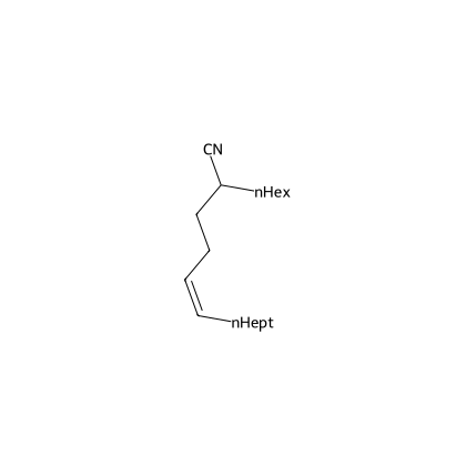 CCCCCCC/C=C\CCC(C#N)CCCCCC